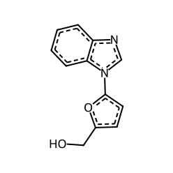 OCc1ccc(-n2cnc3ccccc32)o1